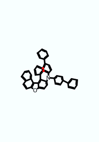 c1ccc(-c2ccc(N(c3ccc(-c4ccccc4)cc3)c3ccc4oc5ccc6ccccc6c5c4c3-c3ccccc3)cc2)cc1